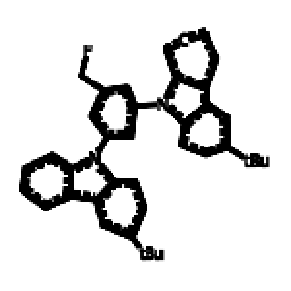 CC(C)(C)c1ccc2c(c1)c1ccccc1n2-c1cc(CF)cc(-n2c3ccccc3c3cc(C(C)(C)C)ccc32)c1